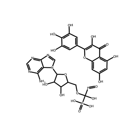 Nc1ncnc2ncn(C3OC(COC(O)(P=O)P(=O)(O)O)C(O)C3O)c12.O=c1c(O)c(-c2cc(O)c(O)c(O)c2)oc2cc(O)cc(O)c12